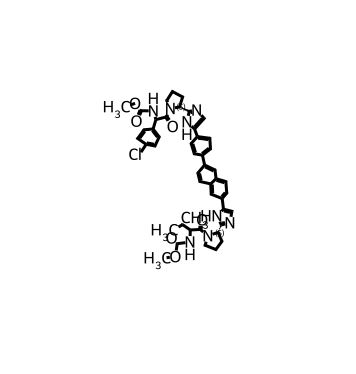 COC(=O)NC(C(=O)N1CCC[C@H]1c1ncc(-c2ccc(-c3ccc4cc(-c5cnc([C@@H]6CCCN6C(=O)C(NC(=O)OC)C(C)C)[nH]5)ccc4c3)cc2)[nH]1)c1ccc(Cl)cc1